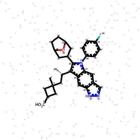 C[C@@H](CC1(C)CC(C(=O)O)C1)c1c(C2CC3CCC(C2)O3)n(-c2ccc(F)cc2)c2cc3cn[nH]c3cc12